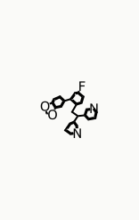 Fc1ccc(CC(c2cccnc2)c2cccnc2)c(-c2ccc3c(c2)OCO3)c1